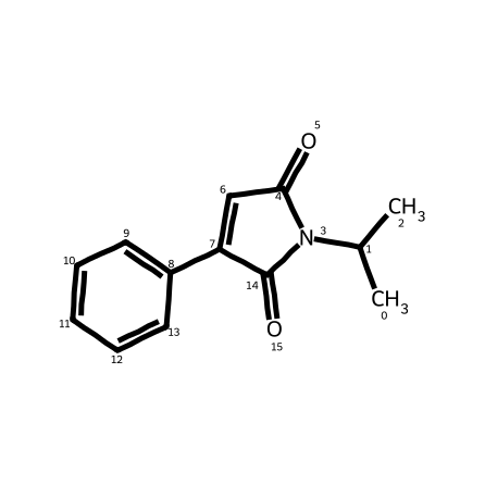 CC(C)N1C(=O)C=C(c2ccccc2)C1=O